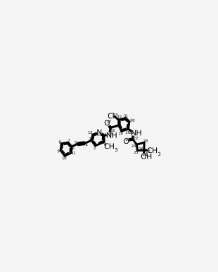 Cc1cc(C#Cc2ccccc2)cnc1NC(=O)c1cc(NC(=O)C2CC(C)(O)C2)ccc1Cl